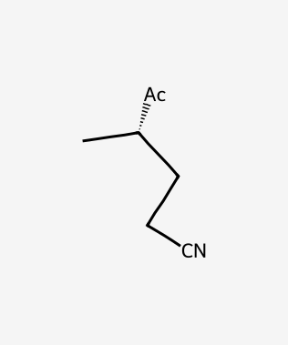 CC(=O)[C@@H](C)CCC#N